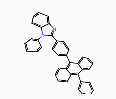 c1ccc(-c2c3ccccc3c(-c3ccc(-c4nc5ccccc5n4-c4ccccc4)cc3)c3ccccc23)cc1